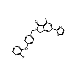 Cc1cc(-c2nccs2)cc2c1C(=O)N(Cc1ccc(Oc3ccccc3F)cc1)C2